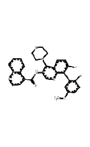 O=C(Nc1cnc2c(-c3cc(OC(F)(F)F)ccc3Cl)c(F)ccc2c1N1CCOCC1)c1ccnc2ccccc12